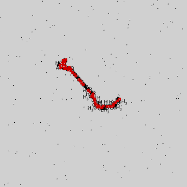 CC(=O)N1c2ccc(C3=CCN(C(=O)COCCOCCOCCOCCOCCOCCOCCNC(=O)CCNC(=O)c4nc(NC(=O)CCNC(=O)c5cc(NC(=O)c6nc(NC(=O)CCNC(=O)c7cc(NC(=O)c8nccn8C)cn7C)cn6C)cn5C)cn4C)CC3)cc2N(Cc2ccccc2CO)C[C@@H]1C1CC1